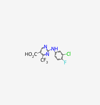 O=C(O)c1cnc(Nc2ccc(F)c(Cl)c2)nc1C(F)(F)F